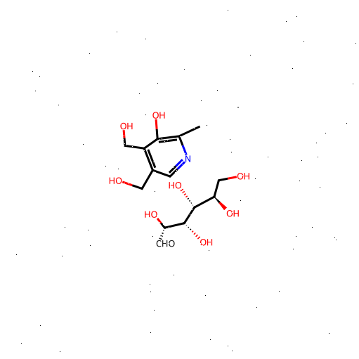 Cc1ncc(CO)c(CO)c1O.O=C[C@H](O)[C@@H](O)[C@H](O)[C@H](O)CO